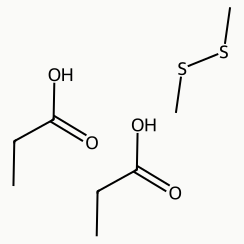 CCC(=O)O.CCC(=O)O.CSSC